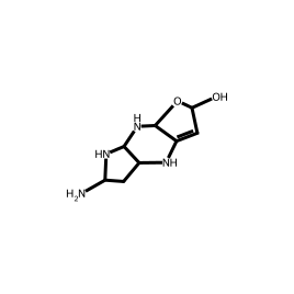 NC1CC2NC3=CC(O)OC3NC2N1